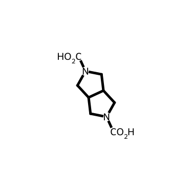 O=C(O)N1CC2CN(C(=O)O)CC2C1